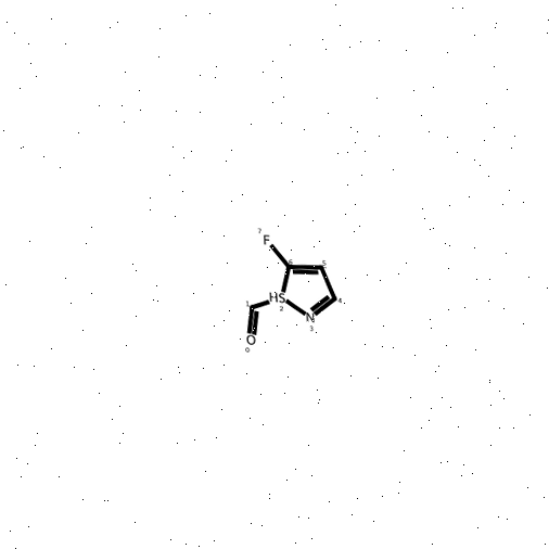 O=C[SH]1N=C[C]=C1F